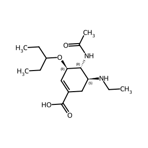 CCN[C@H]1CC(C(=O)O)=C[C@@H](OC(CC)CC)[C@@H]1NC(C)=O